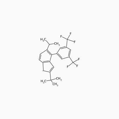 CC(C)c1ccc2c(c1-c1cc(C(F)(F)F)cc(C(F)(F)F)c1)C=C(C(C)(C)C)[CH]2